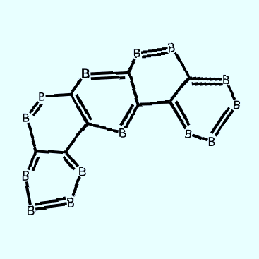 b1bbc2c(b1)bbc1bc3bbc4bbbbc4c3bc12